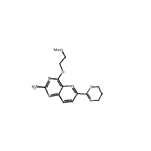 COCCOc1nc(N)nc2ccc(C3=NCCCO3)nc12